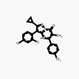 Cc1c(-c2ccc(C(F)(F)F)cc2)[nH]c2c(-c3ccc(Cl)cc3Cl)c(C3CC3)nn2c1=O